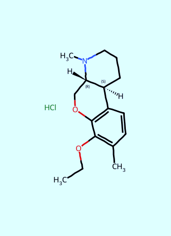 CCOc1c(C)ccc2c1OC[C@H]1[C@H]2CCCN1C.Cl